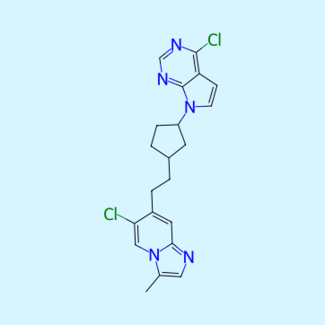 Cc1cnc2cc(CCC3CCC(n4ccc5c(Cl)ncnc54)C3)c(Cl)cn12